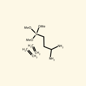 C=C.C=C.CO[Si](CCC(N)N)(OC)OC